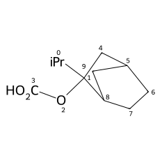 CC(C)C1(OC(=O)O)CC2CCC1C2